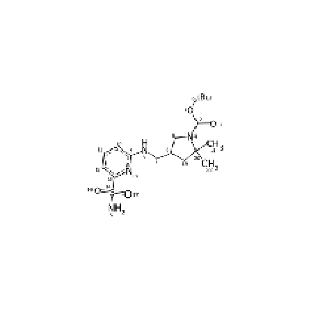 CC(C)(C)OC(=O)N1CC(CNc2cccc(S(N)(=O)=O)n2)CC1(C)C